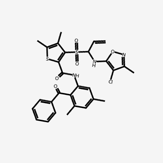 C=CC(Nc1onc(C)c1Cl)S(=O)(=O)c1c(C(=O)Nc2cc(C)cc(C)c2C(=O)c2ccccc2)sc(C)c1C